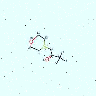 CC(C)(C)C(=O)C[S+]1CCOCC1